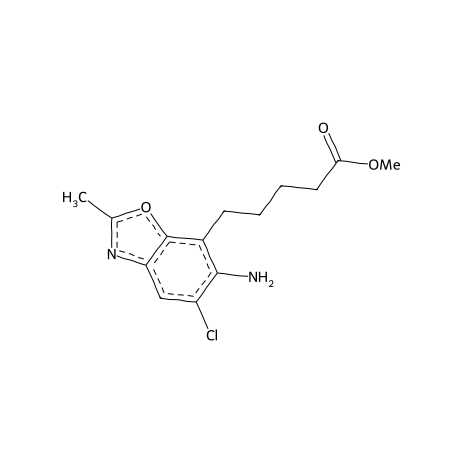 COC(=O)CCCCc1c(N)c(Cl)cc2nc(C)oc12